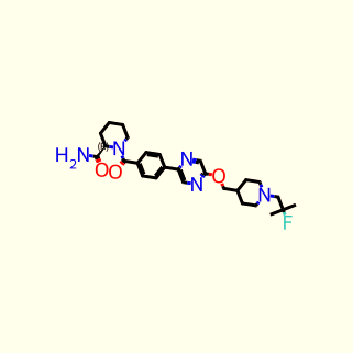 CC(C)(F)CN1CCC(COc2cnc(-c3ccc(C(=O)N4CCCC[C@@H]4C(N)=O)cc3)cn2)CC1